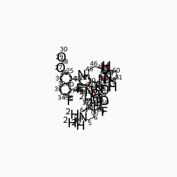 [2H]C([2H])([2H])N1CC[C@H](C(F)F)[C@](C)(C([2H])([2H])Oc2nc3c4c(nc(-c5cc(OCOC)cc6ccc(F)c(C#C)c56)c(F)c4n2)CCC[C@@H]2[C@@H]4CC[C@H](CN32)N4Cc2oc(=O)oc2C)C1